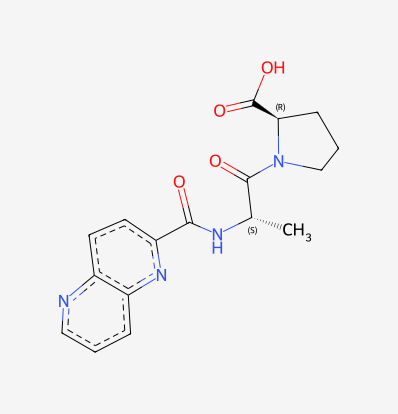 C[C@H](NC(=O)c1ccc2ncccc2n1)C(=O)N1CCC[C@@H]1C(=O)O